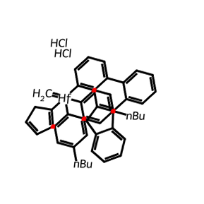 Cl.Cl.[CH2]=[Hf]([C]1=CC=CC1)([c]1ccc(CCCC)cc1)([c]1ccc(CCCC)cc1)[c]1cccc2c1c1c(c3ccccc32)-c2ccccc2C1